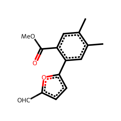 COC(=O)c1cc(C)c(C)cc1-c1ccc(C=O)o1